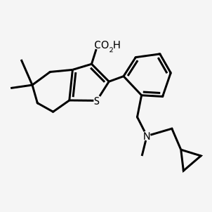 CN(Cc1ccccc1-c1sc2c(c1C(=O)O)CC(C)(C)CC2)CC1CC1